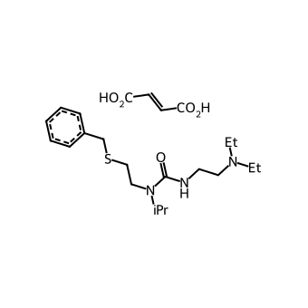 CCN(CC)CCNC(=O)N(CCSCc1ccccc1)C(C)C.O=C(O)C=CC(=O)O